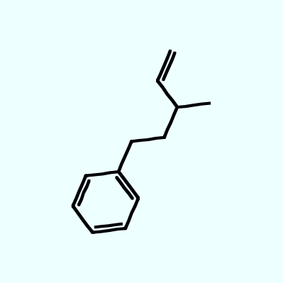 C=CC(C)CCc1ccccc1